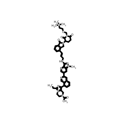 CCc1nc(-c2cccc3cc(-c4cnc5c(NC/C=C/c6cccc7c6CN(C6CCC(=O)N(COCC[Si](C)(C)C)C6=O)C7=O)nn(C)c5c4)ncc23)c2n1CCN(C(C)=O)C2